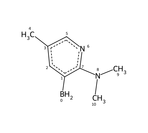 Bc1cc(C)cnc1N(C)C